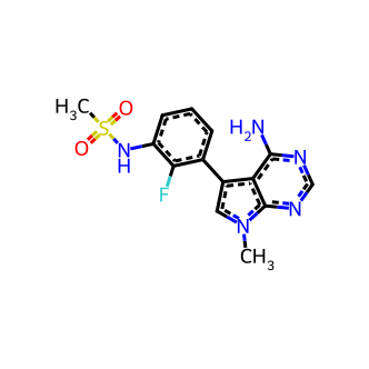 Cn1cc(-c2cccc(NS(C)(=O)=O)c2F)c2c(N)ncnc21